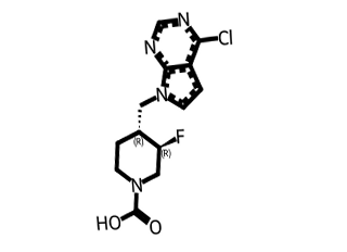 O=C(O)N1CC[C@H](Cn2ccc3c(Cl)ncnc32)[C@@H](F)C1